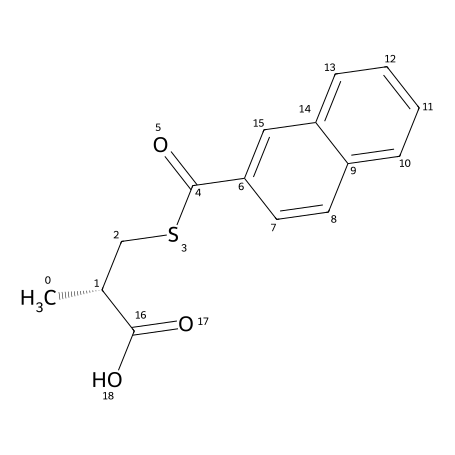 C[C@H](CSC(=O)c1ccc2ccccc2c1)C(=O)O